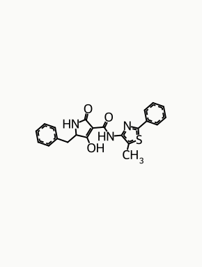 Cc1sc(-c2ccccc2)nc1NC(=O)C1=C(O)C(Cc2ccccc2)NC1=O